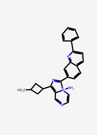 N[N+]12C=CN=CC1=C(C1CC(C(=O)O)C1)N=C2c1ccc2ccc(-c3ccccc3)nc2c1